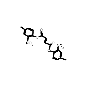 Cc1ccc(OC(=O)C=CC(=O)Oc2ccc(C)cc2[N+](=O)[O-])c([N+](=O)[O-])c1